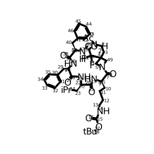 CC(=O)N1CCC2(CN(C(=O)[C@@H](CCCCNC(=O)OC(C)(C)C)NC(=O)[C@@H](CC(C)C)NC(=O)[C@@H](Cc3ccccc3)NC(=O)[C@@H](Cc3ccccc3)NC(=O)O)C2)C(F)(F)C1